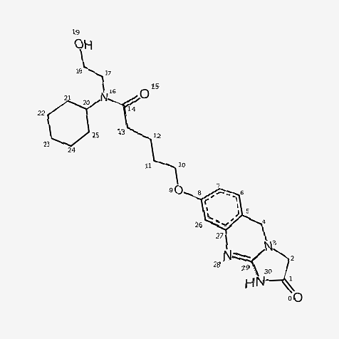 O=C1CN2Cc3ccc(OCCCCC(=O)N(CCO)C4CCCCC4)cc3N=C2N1